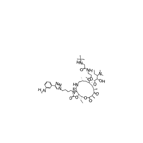 CCC(C(O)[C@@H](OCCNC(=O)CNC(C)(C)C)O[C@@H]1[C@@H](C)C(=O)[C@@H](C)C(=O)O[C@H](CC)[C@@]2(C)OC(=O)N(CCCCn3cc(-c4cccc(N)c4)nn3)[C@@H]2[C@@H](C)NC[C@H](C)C[C@@]1(C)OC)N(C)C